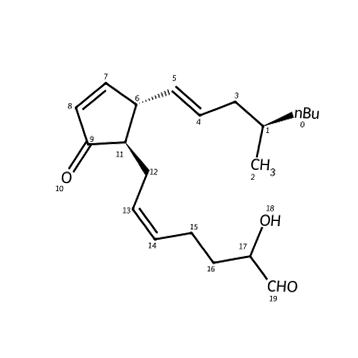 CCCC[C@@H](C)CC=C[C@H]1C=CC(=O)[C@@H]1C/C=C\CCC(O)C=O